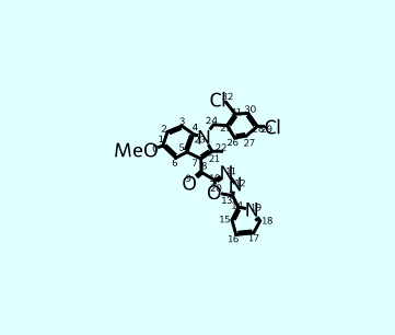 COc1ccc2c(c1)c(C(=O)c1nnc(-c3ccccn3)o1)c(C)n2Cc1ccc(Cl)cc1Cl